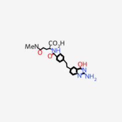 CNC(=O)CC[C@H](NC(=O)c1ccc(CCc2ccc3nc(N)nc(O)c3c2)cc1)C(=O)O